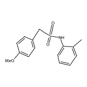 COc1ccc(CS(=O)(=O)Nc2ccccc2C)cc1